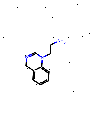 NCCN1C=NCc2ccccc21